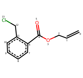 C=CCOC(=O)c1ccccc1CCl